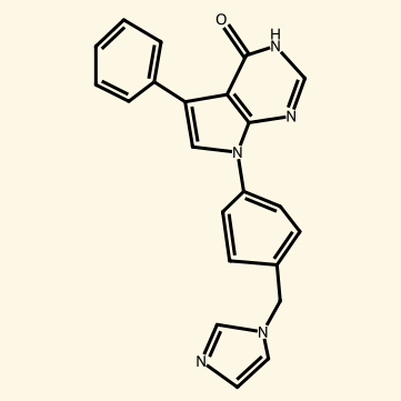 O=c1[nH]cnc2c1c(-c1ccccc1)cn2-c1ccc(Cn2ccnc2)cc1